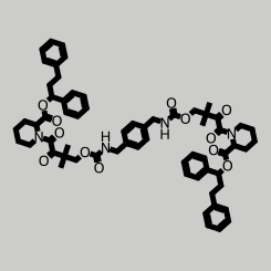 CC(C)(COC(=O)NCc1ccc(CNC(=O)OCC(C)(C)C(=O)C(=O)N2CCCCC2C(=O)OC(CCc2ccccc2)c2ccccc2)cc1)C(=O)C(=O)N1CCCCC1C(=O)OC(CCc1ccccc1)c1ccccc1